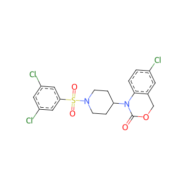 O=C1OCc2cc(Cl)ccc2N1C1CCN(S(=O)(=O)c2cc(Cl)cc(Cl)c2)CC1